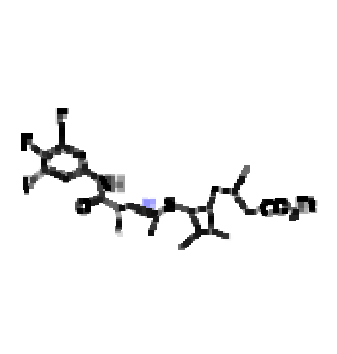 CCOC(=O)CC(C)CC1C(C)C(C)C1S/C(C)=C/C(C)C(=O)Nc1cc(F)c(F)c(F)c1